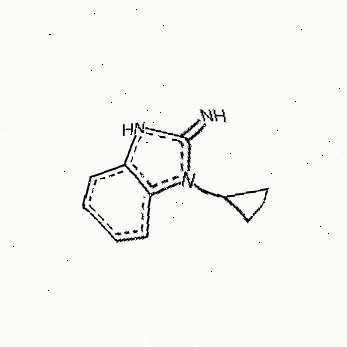 N=c1[nH]c2ccccc2n1C1CC1